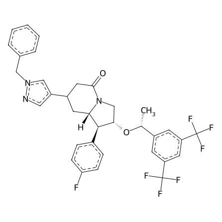 C[C@@H](O[C@H]1CN2C(=O)CC(c3cnn(Cc4ccccc4)c3)C[C@H]2[C@@H]1c1ccc(F)cc1)c1cc(C(F)(F)F)cc(C(F)(F)F)c1